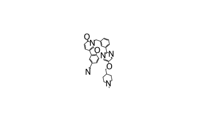 CN1CCC(COc2cnc(-c3cccc(Cn4c(=O)ccc5c6cc(C#N)ccc6oc54)c3)nc2)CC1